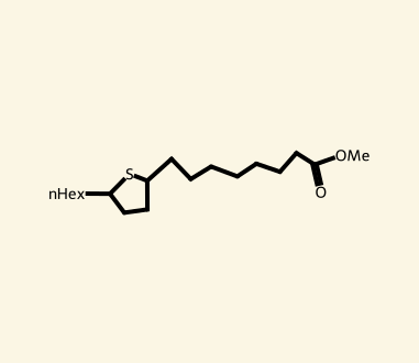 CCCCCCC1CCC(CCCCCCCC(=O)OC)S1